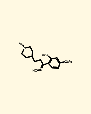 COc1ccc(C(CCC2CCN(C(C)=O)CC2)=NO)c(OC(C)=O)c1